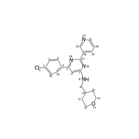 Clc1ccc(-c2cc(NCC3CCOCC3)nc(-c3cccnc3)n2)cc1